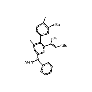 CCCCc1cc(-c2c(C)cc(N(NC)c3ccccc3)cc2/C(=C/C(C)(C)C)CCC)ccc1C